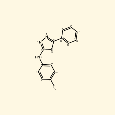 Clc1ccc(Nc2nnc(-c3ccccc3)s2)cc1